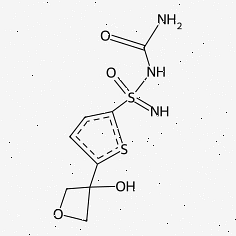 N=S(=O)(NC(N)=O)c1ccc(C2(O)COC2)s1